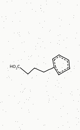 O=C(O)[CH]CCc1ccccc1